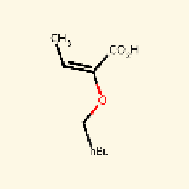 CC=C(OCCCCC)C(=O)O